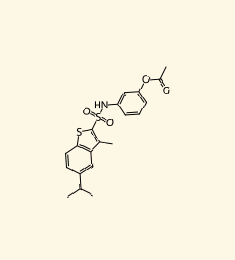 CC(=O)Oc1cccc(NS(=O)(=O)c2sc3ccc(C(C)C)cc3c2C)c1